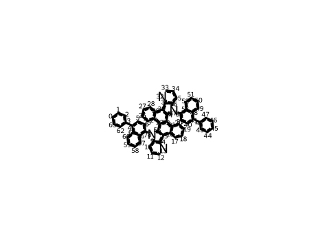 c1ccc(-c2ccc(-n3c4cccnc4c4c5ccccc5c5c(c6ccccc6c6c7ncccc7n(-c7ccc(-c8ccccc8)c8ccccc78)c65)c43)c3ccccc23)cc1